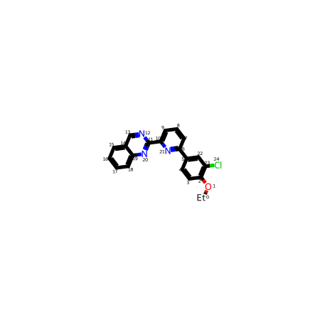 CCOc1ccc(-c2cccc(-c3ncc4ccccc4n3)n2)cc1Cl